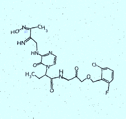 CCC(C(=O)NCC(=O)COCc1c(F)cccc1Cl)n1ccnc(NCC(=N)/C(C)=N\O)c1=O